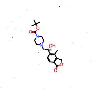 Cc1c([C@@H](O)CN2CCN(C(=O)OC(C)(C)C)CC2)ccc2c1COC2=O